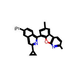 Cc1cc(-c2nc(C3CC3)cc3cc(C(C)C)ccc23)c2oc3nc(C)ccc3c2c1